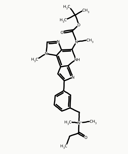 CCC(=O)[N+](C)(C)Cc1cccc(-c2cc3c4c(ncn4C)c(N(C)C(=O)OC(C)(C)C)[nH]c-3n2)c1